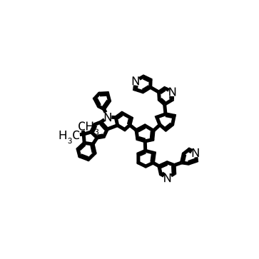 CC1(C)c2ccccc2-c2cc3c(cc21)N(c1ccccc1)C1=CC=C(c2cc(C4=CCCC(c5cncc(-c6ccncc6)c5)=C4)cc(C4C=CC=C(c5cncc(-c6ccncc6)c5)C4)c2)CC13